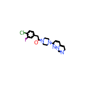 O=C(Cc1ccc(Cl)c(I)c1)N1CCN(C2=NN3C=NCC=C3C=C2)CC1